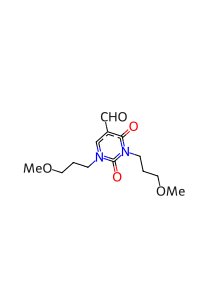 COCCCn1cc(C=O)c(=O)n(CCCOC)c1=O